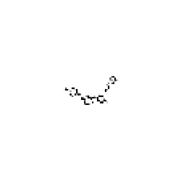 CC(=O)N1CCC(CNc2ccnc(Nc3ccc(Cl)c(OCCCN4CCCC4)c3)n2)CC1